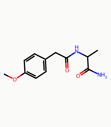 COc1ccc(CC(=O)NC(C)C(N)=O)cc1